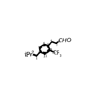 CC(C)Cc1ccc(CCC=O)c(C(F)(F)F)c1